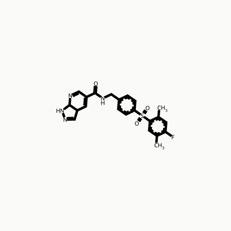 Cc1cc(S(=O)(=O)c2ccc(CNC(=O)C3=CC4C=NNC4N=C3)cc2)c(C)cc1F